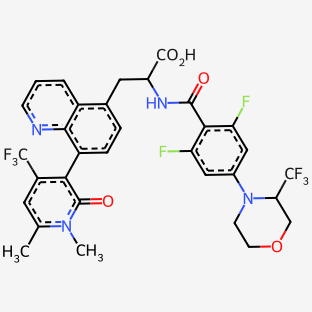 Cc1cc(C(F)(F)F)c(-c2ccc(CC(NC(=O)c3c(F)cc(N4CCOCC4C(F)(F)F)cc3F)C(=O)O)c3cccnc23)c(=O)n1C